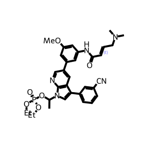 CCOP(=O)(OCC)OC(C)n1cc(-c2cccc(C#N)c2)c2cc(-c3cc(NC(=O)/C=C/CN(C)C)cc(OC)c3)cnc21